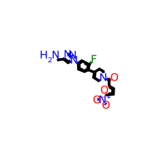 NCc1cn(-c2ccc(C3=CCN(C(=O)c4ccc([N+](=O)[O-])o4)CC3)c(F)c2)nn1